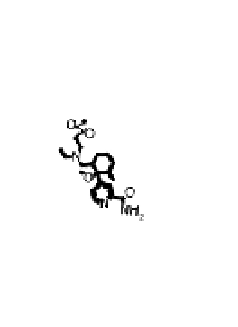 CCN(CCS(C)(=O)=O)CC1CCCC(C)C1(OC)c1ccnc(C(N)=O)c1